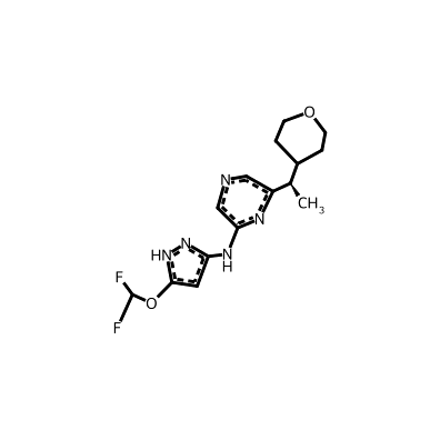 C[C@@H](c1cncc(Nc2cc(OC(F)F)[nH]n2)n1)C1CCOCC1